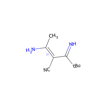 C/C(N)=C(/C#N)C(=N)C(C)(C)C